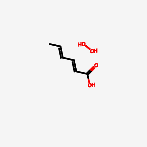 CC=CC=CC(=O)O.OO